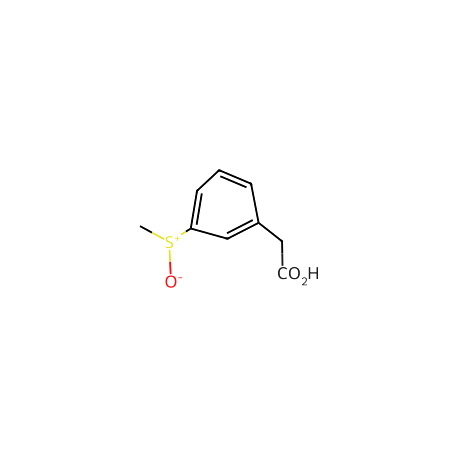 C[S+]([O-])c1cccc(CC(=O)O)c1